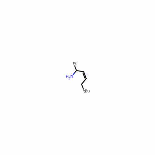 CCC(N)/C=C\CC(C)(C)C